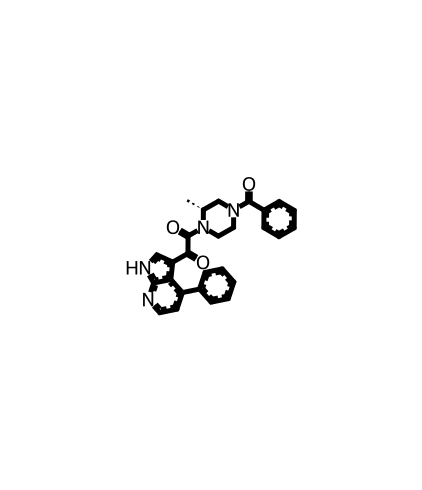 C[C@@H]1CN(C(=O)c2ccccc2)CCN1C(=O)C(=O)c1c[nH]c2nccc(-c3ccccc3)c12